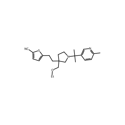 CCOCC1(CCc2ccc(C#N)s2)CCN(C(C)(C)c2ccc(C)nc2)C1